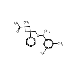 Cc1cc(C)cc([C@@H](C)OC[C@]2(c3ccccc3)C[C@](N)(C(N)=O)C2)c1